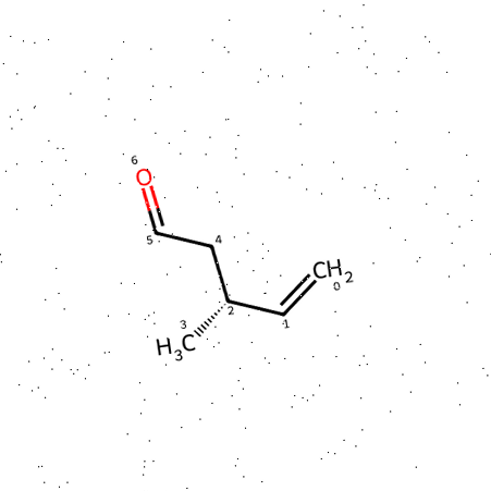 C=C[C@H](C)CC=O